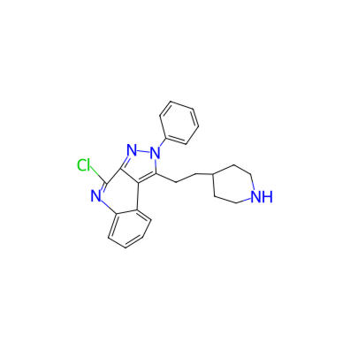 Clc1nc2ccccc2c2c(CCC3CCNCC3)n(-c3ccccc3)nc12